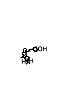 Cc1sc(C(=O)/C=C/c2ccc(O)cc2)c2c1[C@H]1[C@@H](C2)C1(C)C